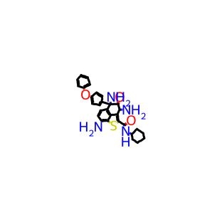 Nc1ccc2c3c(c(C(=O)NC4CCCCC4)sc13)C(N)C(=O)C2(N)c1ccc(Oc2ccccc2)cc1